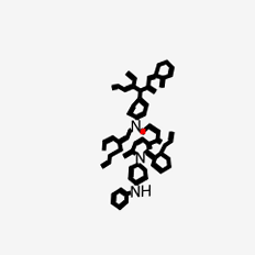 C=C/C=C(\C=C)C(C(=C)/C=C1/CCC=CC1=C)c1ccc(N(C/C=C(\C=C/C)CCC=C)C(=C)/C=C\C(=C)C(=C)/C=C\C(=C)N(/C=C2\C=CCCC2CC=C)C2C=CC(Nc3ccccc3)=CC2)cc1